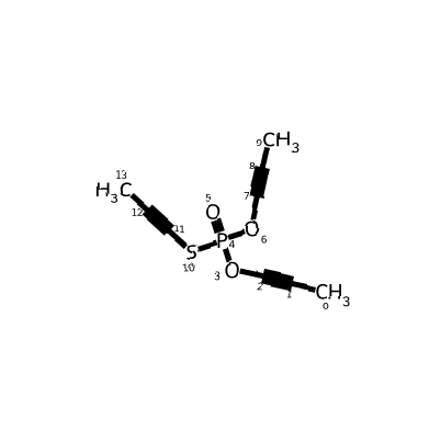 CC#COP(=O)(OC#CC)SC#CC